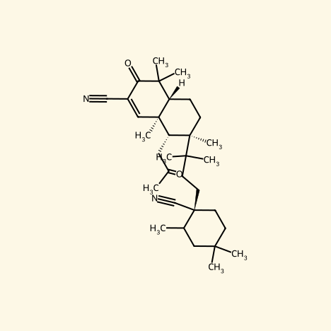 CC(=O)C[C@@H]1[C@@]2(C)C=C(C#N)C(=O)C(C)(C)[C@@H]2CC[C@@]1(C)C(C)(C)CC[C@@]1(C#N)CCC(C)(C)CC1C